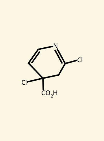 O=C(O)C1(Cl)C=CN=C(Cl)C1